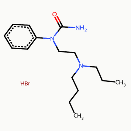 Br.CCCCN(CCC)CCN(C(N)=O)c1ccccc1